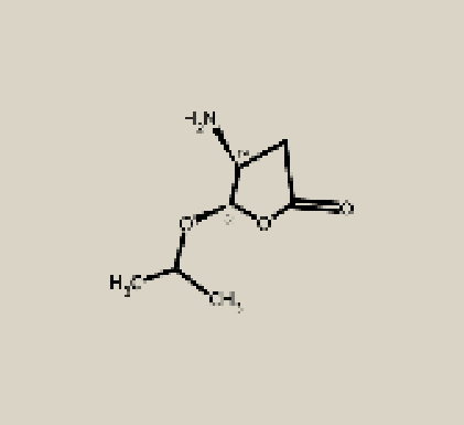 CC(C)O[C@@H]1OC(=O)C[C@@H]1N